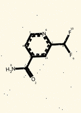 NC(=O)c1ccnc(C(F)F)c1